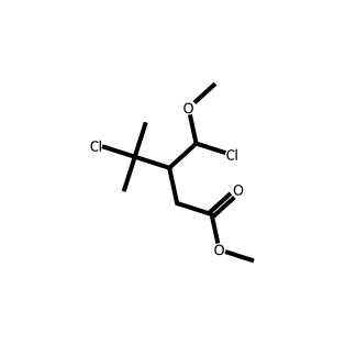 COC(=O)CC(C(Cl)OC)C(C)(C)Cl